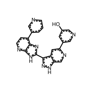 Oc1cncc(-c2cc3c(-c4nc5c(-c6cccnc6)ccnc5[nH]4)n[nH]c3cn2)c1